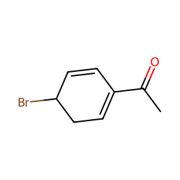 CC(=O)C1=CCC(Br)C=C1